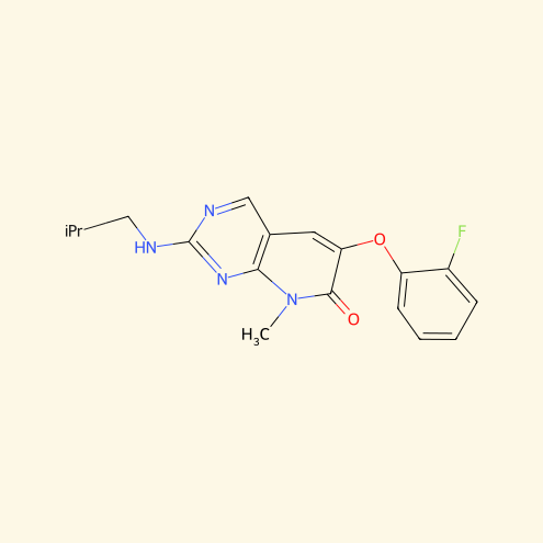 CC(C)CNc1ncc2cc(Oc3ccccc3F)c(=O)n(C)c2n1